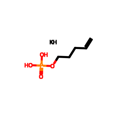 C=CCCCOP(=O)(O)O.[KH]